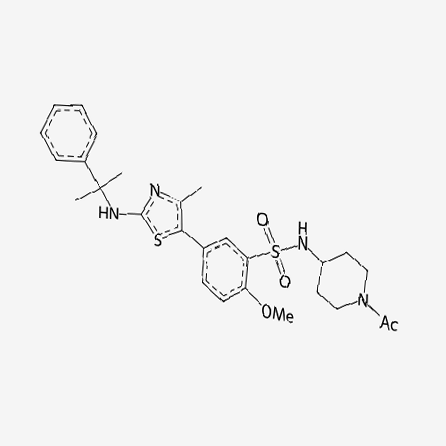 COc1ccc(-c2sc(NC(C)(C)c3ccccc3)nc2C)cc1S(=O)(=O)NC1CCN(C(C)=O)CC1